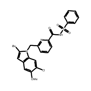 CCC(C)c1cc2cc(OC)c(Cl)cc2n1Cc1cccc(C(=O)NS(=O)(=O)c2ccccc2)n1